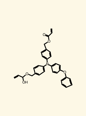 C=CC(=O)OCc1ccc(N(c2ccc(COC(O)C=C)cc2)c2ccc(Oc3ccccc3)cc2)cc1